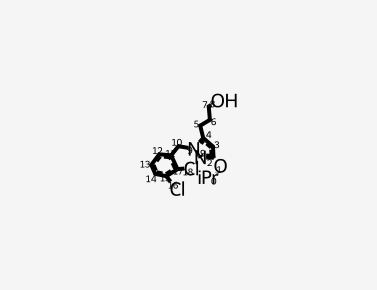 CC(C)Oc1cc(CCCO)n(Cc2cccc(Cl)c2Cl)n1